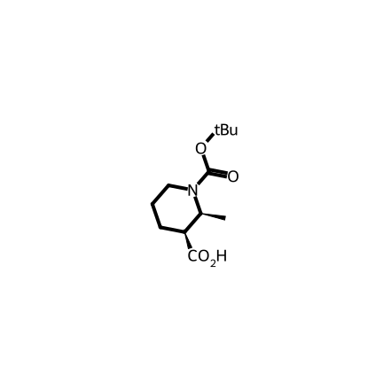 C[C@H]1[C@@H](C(=O)O)CCCN1C(=O)OC(C)(C)C